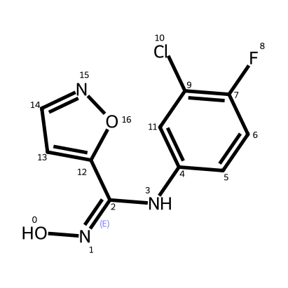 O/N=C(/Nc1ccc(F)c(Cl)c1)c1ccno1